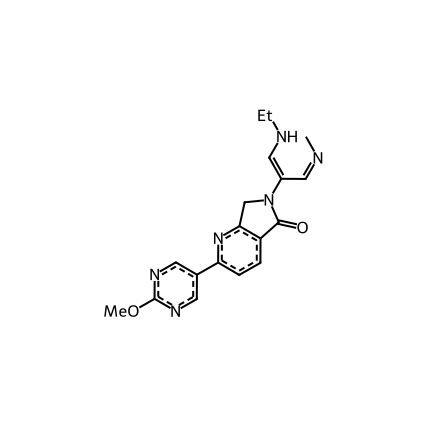 CCN/C=C(\C=N/C)N1Cc2nc(-c3cnc(OC)nc3)ccc2C1=O